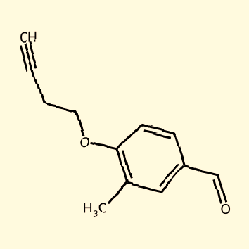 C#CCCOc1ccc(C=O)cc1C